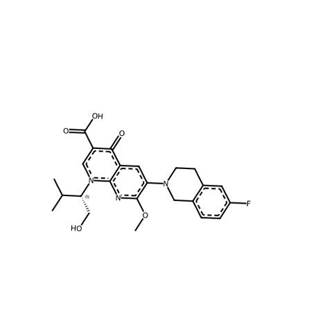 COc1nc2c(cc1N1CCc3cc(F)ccc3C1)c(=O)c(C(=O)O)cn2[C@H](CO)C(C)C